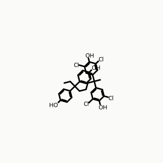 CCC(CCCC(C)(c1cc(Cl)c(O)c(Cl)c1)c1cc(Cl)c(O)c(Cl)c1)(c1ccc(O)cc1)c1ccc(O)cc1